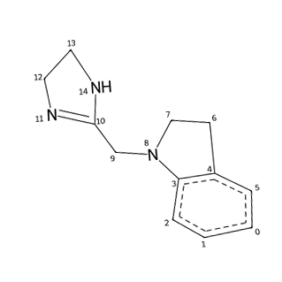 c1ccc2c(c1)CCN2CC1=NCCN1